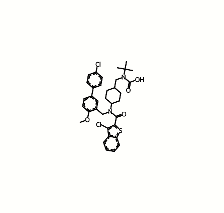 COc1ccc(-c2ccc(Cl)cc2)cc1CN(C(=O)c1sc2ccccc2c1Cl)C1CCC(CN(C(=O)O)C(C)(C)C)CC1